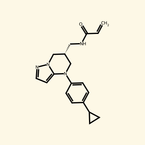 C=CC(=O)NC[C@@H]1CN(c2ccc(C3CC3)cc2)c2ccnn2C1